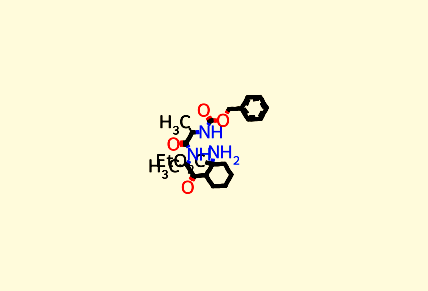 CCOC(=O)C1(N)CCCCC1C(=O)[C@H](C)NC(=O)[C@H](C)NC(=O)OCc1ccccc1